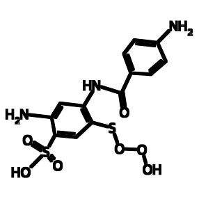 Nc1ccc(C(=O)Nc2cc(N)c(S(=O)(=O)O)cc2SOOO)cc1